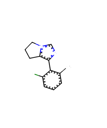 N#Cc1cccc(F)c1-c1ncn2c1CCC2